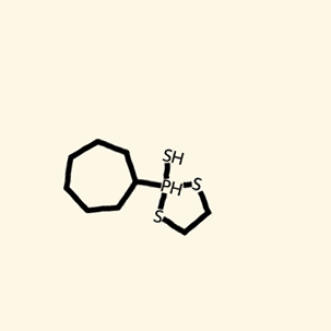 S[PH]1(C2CCCCCC2)SCCS1